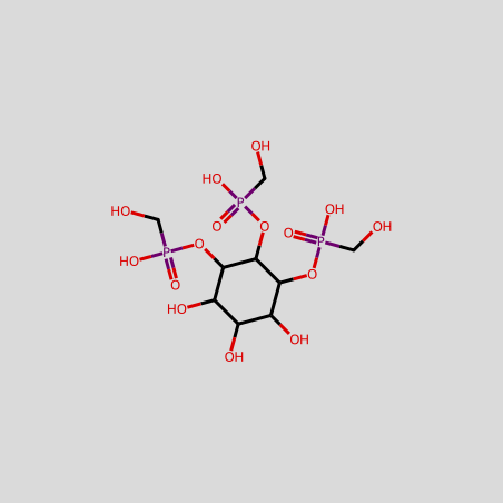 O=P(O)(CO)OC1C(O)C(O)C(O)C(OP(=O)(O)CO)C1OP(=O)(O)CO